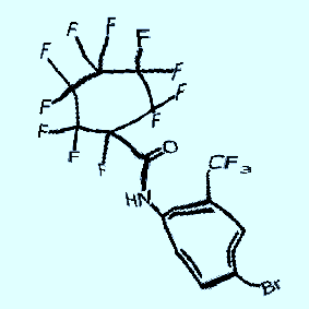 O=C(Nc1ccc(Br)cc1C(F)(F)F)C1(F)C(F)(F)C(F)(F)C(F)(F)C(F)(F)C1(F)F